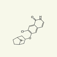 CN1C2CCC1CC(Oc1cc3cc[nH]c(=O)c3cc1Cl)C2